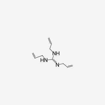 C=CCN=C(NCC=C)NCC=C